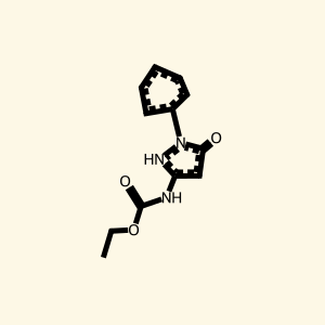 CCOC(=O)Nc1cc(=O)n(-c2ccccc2)[nH]1